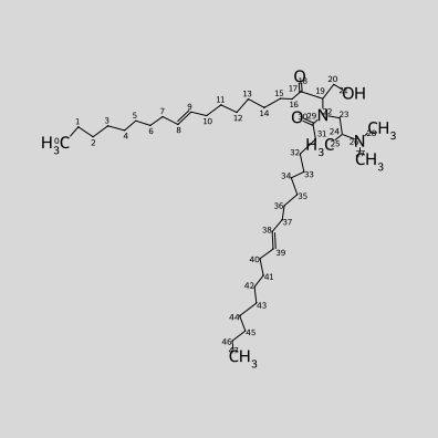 CCCCCCCCC=CCCCCCCCC(=O)C(CO)N(CC(C)N(C)C)C(=O)CCCCCCCC=CCCCCCCCC